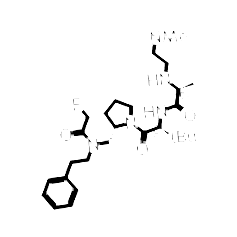 CNCCN[C@@H](C)C(=O)N[C@H](C(=O)N1CCC[C@H]1CN(CCc1ccccc1)C(=O)CF)C(C)(C)C